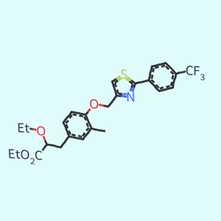 CCOC(=O)C(Cc1ccc(OCc2csc(-c3ccc(C(F)(F)F)cc3)n2)c(C)c1)OCC